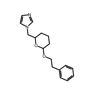 c1ccc(CCOC2CCCC(Cn3ccnc3)O2)cc1